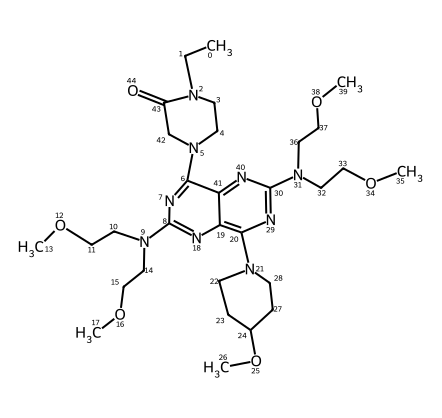 CCN1CCN(c2nc(N(CCOC)CCOC)nc3c(N4CCC(OC)CC4)nc(N(CCOC)CCOC)nc23)CC1=O